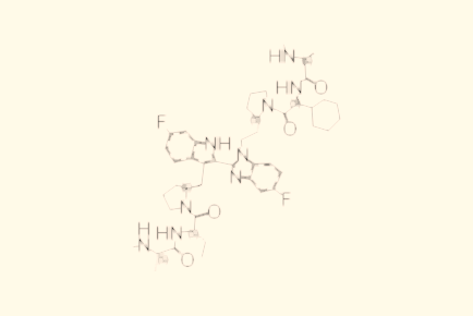 CC[C@H](NC(=O)[C@H](C)NC)C(=O)N1CCC[C@H]1Cc1c(-c2nc3cc(F)ccc3n2CC[C@@H]2CCCN2C(=O)[C@@H](NC(=O)[C@H](C)NC)C2CCCCC2)[nH]c2cc(F)ccc12